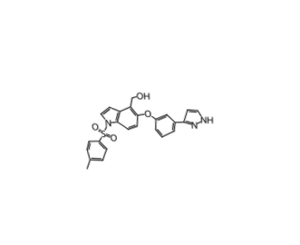 Cc1ccc(S(=O)(=O)n2ccc3c(CO)c(Oc4cccc(-c5cc[nH]n5)c4)ccc32)cc1